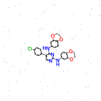 Clc1ccc(-c2cnc(Nc3ccc4c(c3)OCCO4)nc2Nc2ccc3c(c2)OCCO3)cc1